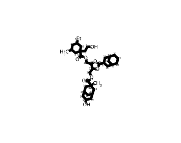 CCC1CC(C)CC(CCO)(C(=O)OCC2OC(C3CC4CCCC(C4)C3)OC2COC(=O)C2(C)CC3CC(O)CC(C3)C2)C1